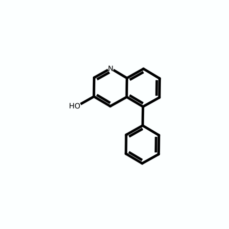 Oc1cnc2cccc(-c3ccccc3)c2c1